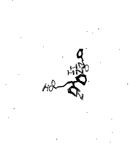 O=C(O)CCC/C=C(\c1cccnc1)c1cccc(NC(=O)NCc2ccccc2)c1